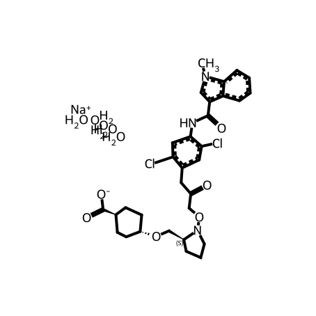 Cn1cc(C(=O)Nc2cc(Cl)c(CC(=O)CON3CCC[C@H]3CO[C@H]3CC[C@H](C(=O)[O-])CC3)cc2Cl)c2ccccc21.O.O.O.O.O.[Na+]